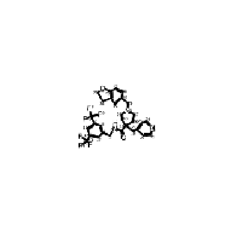 O=C(NCc1cc(C(F)(F)F)cc(C(F)(F)F)c1)C1(Cc2ccncc2)CCN(Cc2ccc3c(c2)CCO3)CC1